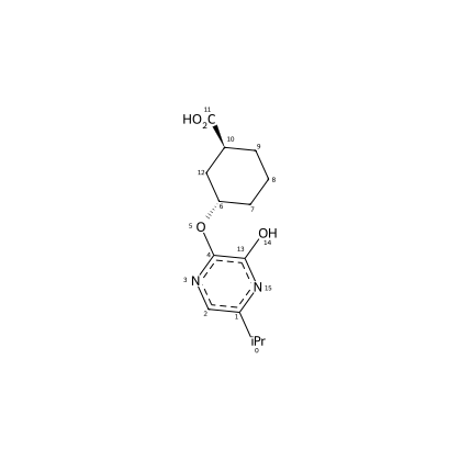 CC(C)c1cnc(O[C@H]2CCC[C@H](C(=O)O)C2)c(O)n1